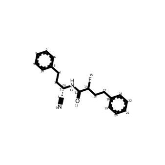 N#C[C@H](CCc1ccccc1)NC(=O)C(F)CCc1ccccc1